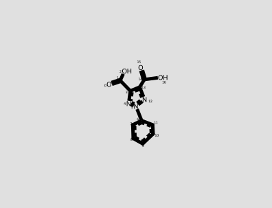 O=C(O)c1nn(-c2ccccc2)nc1C(=O)O